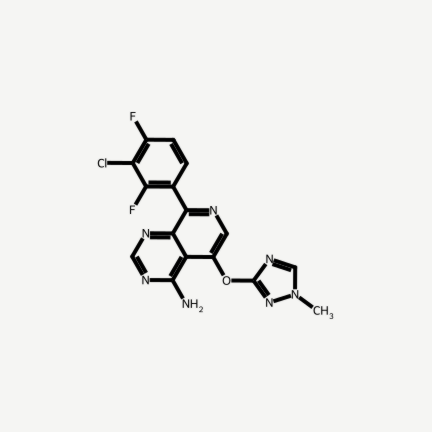 Cn1cnc(Oc2cnc(-c3ccc(F)c(Cl)c3F)c3ncnc(N)c23)n1